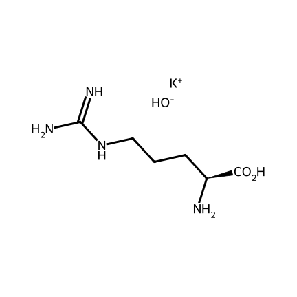 N=C(N)NCCC[C@H](N)C(=O)O.[K+].[OH-]